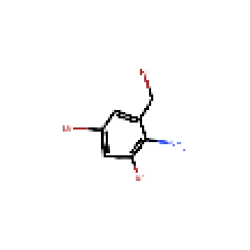 Nc1c(Br)cc(Br)cc1CBr